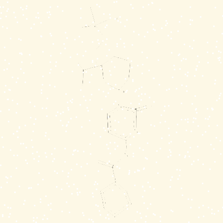 [2H]C(C)[C@@]1(CO[Si](C)(C)C(C)(C)C)COC[C@H](n2ccc(NC(=O)c3ccccc3)nc2=O)O1